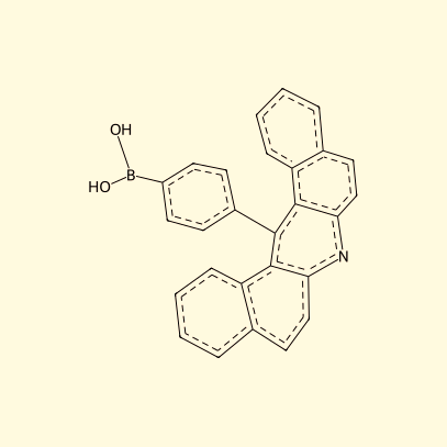 OB(O)c1ccc(-c2c3c(ccc4ccccc43)nc3ccc4ccccc4c23)cc1